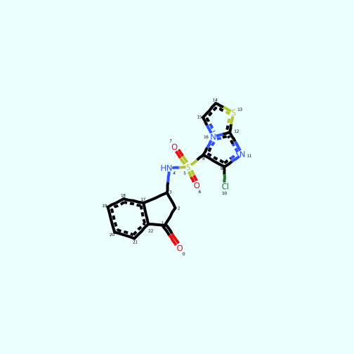 O=C1CC(NS(=O)(=O)c2c(Cl)nc3sccn23)c2ccccc21